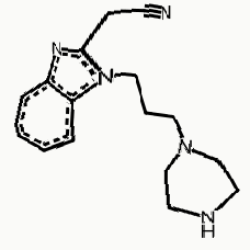 N#CCc1nc2ccccc2n1CCCN1CCNCC1